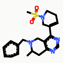 CC1Cc2ncnc(C3=CCCN(S(C)(=O)=O)C3)c2CN1Cc1ccccc1